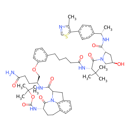 Cc1ncsc1-c1ccc([C@H](C)NC(=O)[C@@H]2C[C@@H](O)CN2C(=O)[C@@H](NC(=O)CCCCc2cccc(OC[C@H](CCC(N)=O)NC(=O)C3Cc4cccc5c4N3C(=O)[C@@H](NC(=O)OC(C)(C)C)CC5)c2)C(C)(C)C)cc1